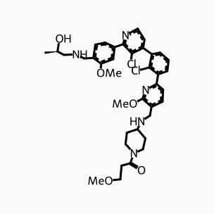 COCCC(=O)N1CCC(NCc2ccc(-c3cccc(-c4ccnc(-c5ccc(CNC[C@@H](C)O)c(OC)c5)c4Cl)c3Cl)nc2OC)CC1